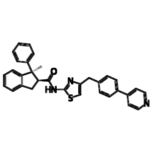 C[C@@]1(c2ccccc2)c2ccccc2C[C@@H]1C(=O)Nc1nc(Cc2ccc(-c3ccncc3)cc2)cs1